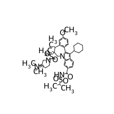 COc1ccc2c(c1)C(C)C(C)(S(=O)(=O)N1CC[C@@H](N(C)C)C1)Cn1c-2c(C2CCCCC2)c2ccc(C(=O)NS(=O)(=O)C(C)C)cc21